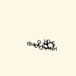 CC(C)(C)OC(=O)ON1CC2NCCO[C@H]2C1